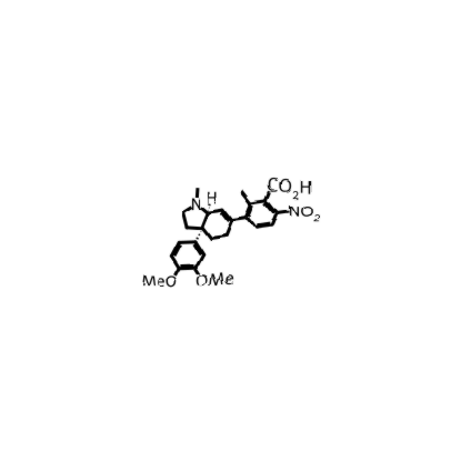 COc1ccc([C@@]23CCC(c4ccc([N+](=O)[O-])c(C(=O)O)c4C)=C[C@@H]2N(C)CC3)cc1OC